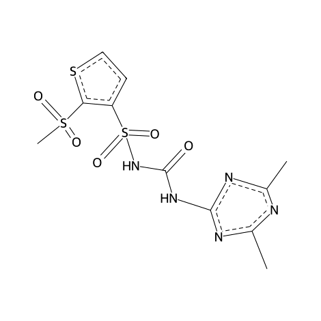 Cc1nc(C)nc(NC(=O)NS(=O)(=O)c2ccsc2S(C)(=O)=O)n1